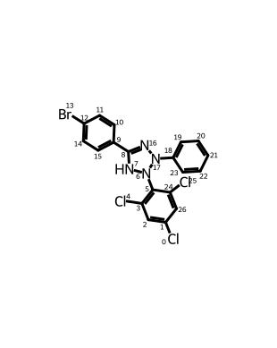 Clc1cc(Cl)c(N2NC(c3ccc(Br)cc3)=NN2c2ccccc2)c(Cl)c1